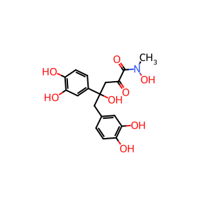 CN(O)C(=O)C(=O)CC(O)(Cc1ccc(O)c(O)c1)c1ccc(O)c(O)c1